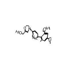 COc1cc(C)c(-c2ccc(N3CCO[C@H](CO)C3)nn2)c(O)c1